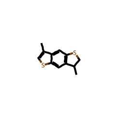 Cc1csc2cc3c(cc12)SCC3C